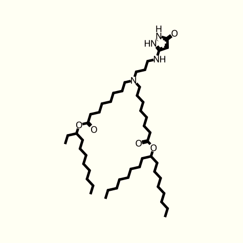 CCCCCCCCC(CC)OC(=O)CCCCCCCN(CCCCCCCC(=O)OC(CCCCCCCC)CCCCCCCC)CCCNc1cc(=O)[nH][nH]1